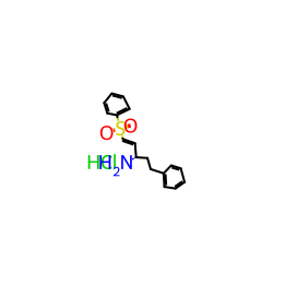 Cl.N[C@H](C=CS(=O)(=O)c1ccccc1)CCc1ccccc1